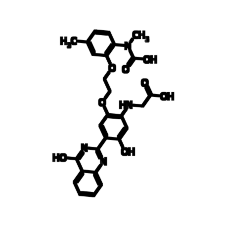 Cc1ccc(N(C)C(=O)O)c(OCCOc2cc(-c3nc(O)c4ccccc4n3)c(O)cc2NCC(=O)O)c1